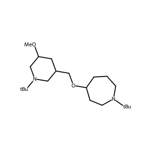 COC1CC(COC2CCCN(C(C)(C)C)CC2)CN(C(C)(C)C)C1